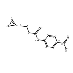 C1=NO1.CCCC(=O)Oc1ccc([N+](=O)[O-])cc1